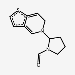 O=[C]N1CCCC1N1C=c2ccsc2=CC1